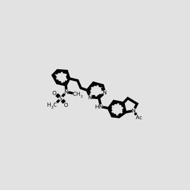 CC(=O)N1CCc2cc(Nc3nccc(CCc4ccccc4N(C)S(C)(=O)=O)n3)ccc21